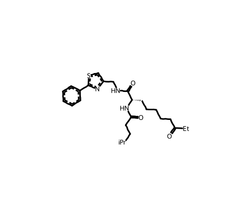 CCC(=O)CCCCC[C@H](NC(=O)CCC(C)C)C(=O)NCc1csc(-c2ccccc2)n1